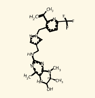 C=C(C)c1nc(C(F)(F)F)ccc1Cn1cc(CNc2nc(C)c3c(n2)N(C)[C@@H](C)C(O)N3)cn1